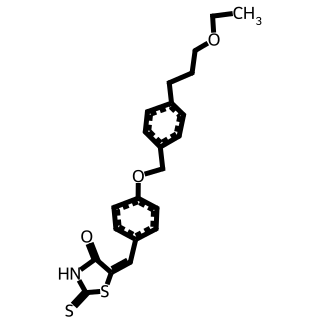 CCOCCCc1ccc(COc2ccc(C=C3SC(=S)NC3=O)cc2)cc1